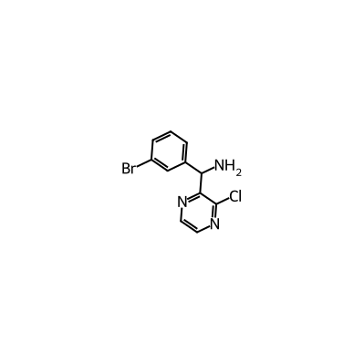 NC(c1cccc(Br)c1)c1nccnc1Cl